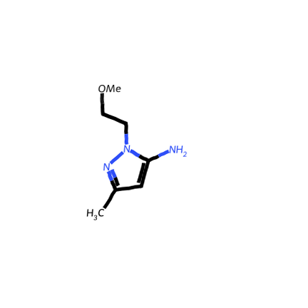 COCCn1nc(C)cc1N